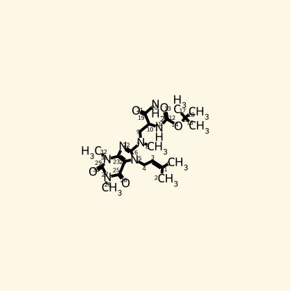 CC(C)=CCn1c(N(C)CC(NC(=O)OC(C)(C)C)C(N)=O)nc2c1c(=O)n(C)c(=O)n2C